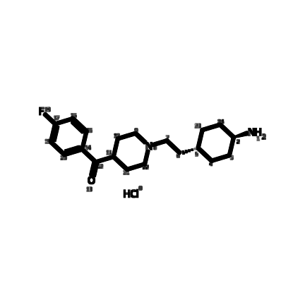 Cl.N[C@H]1CC[C@H](CCN2CCC(C(=O)c3ccc(F)cc3)CC2)CC1